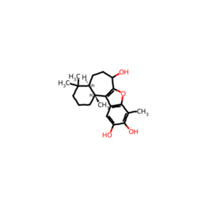 Cc1c(O)c(O)cc2c3c(oc12)C(O)CC[C@@H]1C(C)(C)CCC[C@@]31C